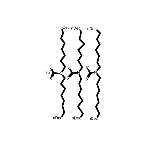 CCCCCCCCCCCCCCCCCN(CCCCCCCCCCCCCCCCC)C(=S)[S-].CCCCCCCCCCCCCCCCCN(CCCCCCCCCCCCCCCCC)C(=S)[S-].CCCCCCCCCCCCCCCCCN(CCCCCCCCCCCCCCCCC)C(=S)[S-].[Sb+3]